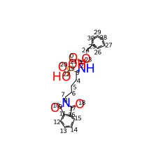 O=C(NC(CCCCN1C(=O)c2ccccc2C1=O)P(=O)(O)O)OCc1ccccc1